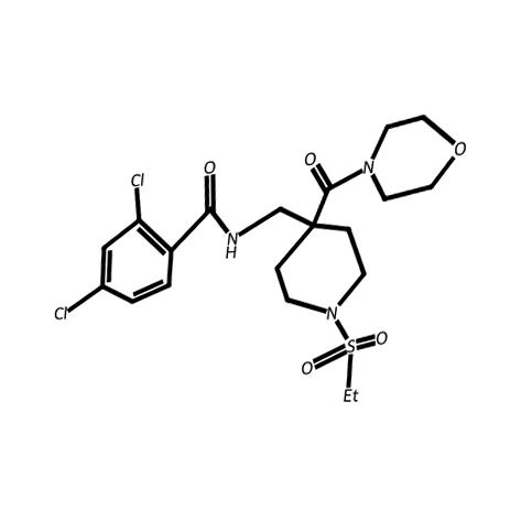 CCS(=O)(=O)N1CCC(CNC(=O)c2ccc(Cl)cc2Cl)(C(=O)N2CCOCC2)CC1